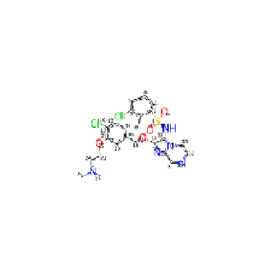 Cc1c(Cl)cccc1S(=O)(=O)Nc1c(OCc2ccc(Cl)c(OCCN(C)C)c2)nc2cnccn12